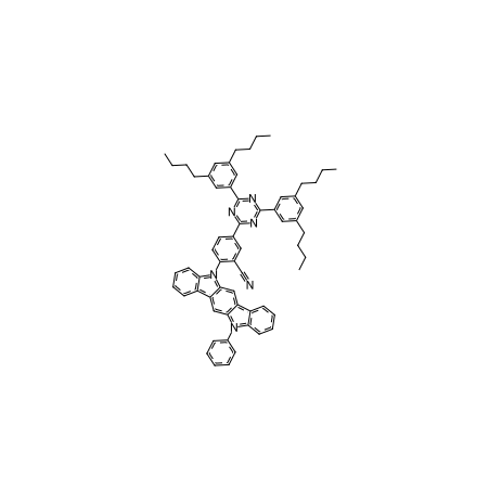 CCCCc1cc(CCCC)cc(-c2nc(-c3cc(CCCC)cc(CCCC)c3)nc(-c3ccc(-n4c5ccccc5c5cc6c(cc54)c4ccccc4n6-c4ccccc4)c(C#N)c3)n2)c1